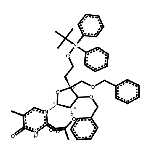 CC(=O)O[C@H]1C(OCc2ccccc2)[C@@](CCO[Si](c2ccccc2)(c2ccccc2)C(C)(C)C)(COCc2ccccc2)O[C@H]1n1cc(C)c(=O)[nH]c1=O